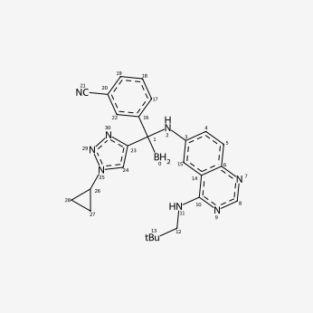 BC(Nc1ccc2ncnc(NCC(C)(C)C)c2c1)(c1cccc(C#N)c1)c1cn(C2CC2)nn1